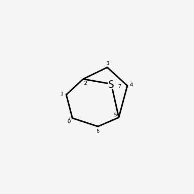 [CH]1CC2CCC(C1)S2